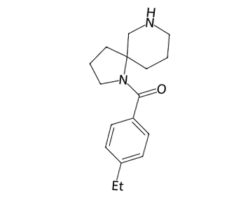 CCc1ccc(C(=O)N2CCCC23CCCNC3)cc1